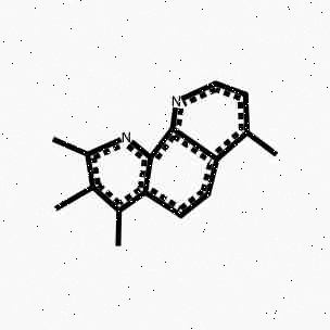 Cc1nc2c(ccc3c(C)ccnc32)c(C)c1C